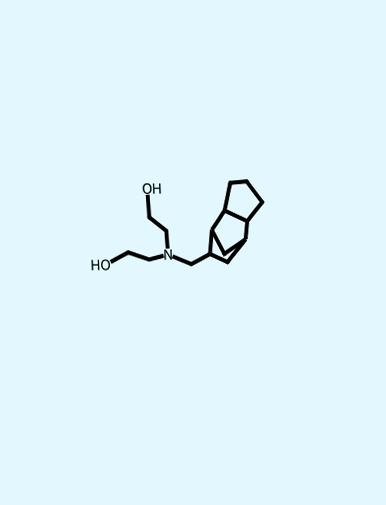 OCCN(CCO)CC1CC2CC1C1CCCC21